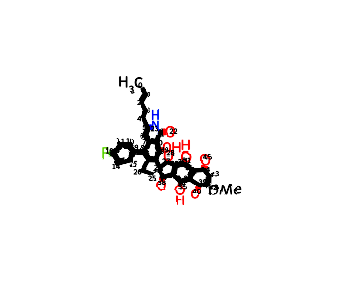 CC=CC=Cc1cc2c(-c3ccc(F)cc3)c3c(c(O)c2c(=O)[nH]1)[C@@]1(CC3)C(=O)c2c(O)c3c(c(O)c2C1=O)C(=O)C(OC)=CC3=O